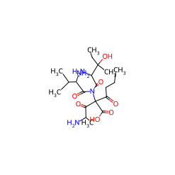 CCCC(=O)C(C(=O)O)(C(=O)C(C)N)N(C(=O)C(N)C(C)C)C(=O)C(N)C(C)(O)CC